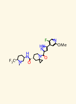 COc1cc(-c2cc(C(=O)N3CC[C@@H](C(=O)N[C@@H]4CC[C@H](C(F)(F)F)N(C)C4)CC34CC4)n[nH]2)c(F)cn1